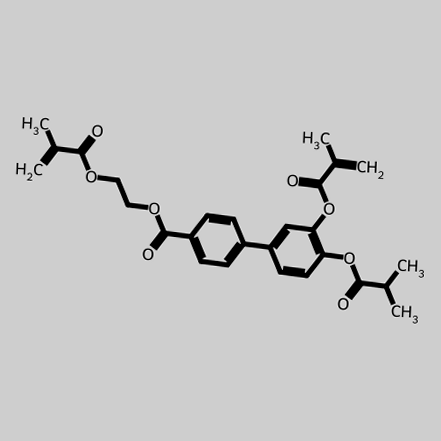 C=C(C)C(=O)OCCOC(=O)c1ccc(-c2ccc(OC(=O)C(C)C)c(OC(=O)C(=C)C)c2)cc1